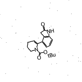 CC(C)(C)OC(=O)N1CCCC=C1c1cccc2c1CC(=O)N2